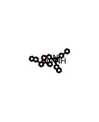 c1ccc(-c2ccc(C3N=C(c4ccccc4-c4ccccc4-n4c5ccccc5c5c(-c6ccc7ccccc7c6)cccc54)N=C(c4ccc5ccccc5c4)N3)cc2)cc1